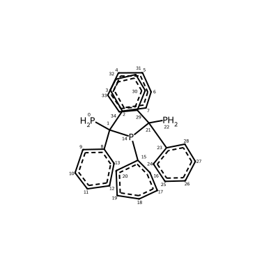 PC(c1ccccc1)(c1ccccc1)P(c1ccccc1)C(P)(c1ccccc1)c1ccccc1